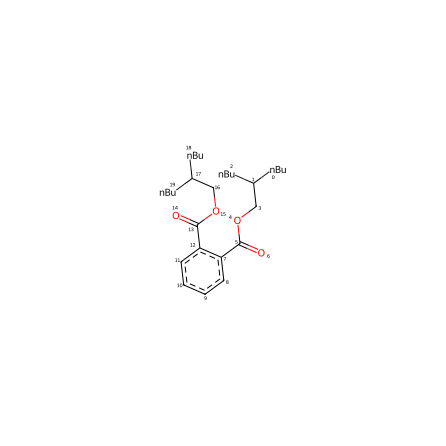 CCCCC(CCCC)COC(=O)c1ccccc1C(=O)OCC(CCCC)CCCC